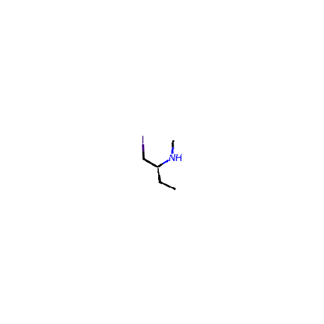 CC[C@@H](CI)NC